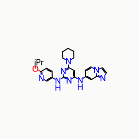 CC(C)Oc1ccc(Nc2nc(Nc3ccn4ccnc4c3)cc(N3CCCCC3)n2)cn1